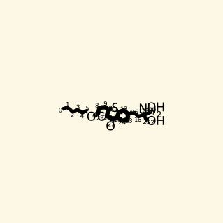 CCCCCCOc1ccc2sc3cc(CCC(N)(CO)CO)ccc3c(=O)c2c1